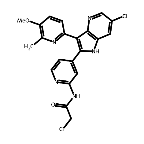 COc1ccc(-c2c(-c3ccnc(NC(=O)CCl)c3)[nH]c3cc(Cl)cnc23)nc1C